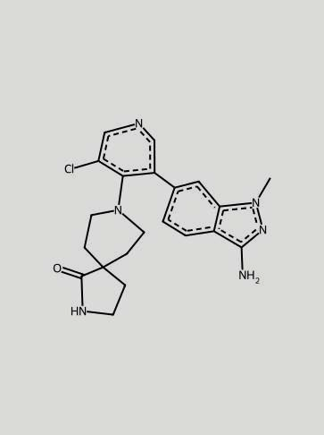 Cn1nc(N)c2ccc(-c3cncc(Cl)c3N3CCC4(CCNC4=O)CC3)cc21